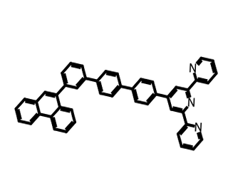 c1ccc(-c2cc(-c3ccc(-c4ccc(-c5cccc(-c6cc7ccccc7c7ccccc67)c5)cc4)cc3)cc(-c3ccccn3)n2)nc1